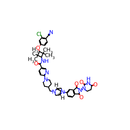 CC1(C)C(NC(=O)c2ccc(N3CCC(CN4C[C@H]5C[C@@H]4CN5c4ccc5c(c4)C(=O)N(N4CCC(=O)NC4=O)C5=O)CC3)nc2)C(C)(C)C1Oc1ccc(C#N)c(Cl)c1